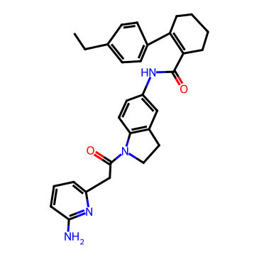 CCc1ccc(C2=C(C(=O)Nc3ccc4c(c3)CCN4C(=O)Cc3cccc(N)n3)CCCC2)cc1